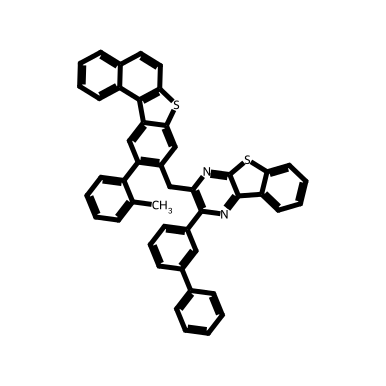 Cc1ccccc1-c1cc2c(cc1Cc1nc3sc4ccccc4c3nc1-c1cccc(-c3ccccc3)c1)sc1ccc3ccccc3c12